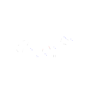 Cc1nc(N)ccc1CNC(=O)[C@H](C)NC(=O)[C@H]1CN(c2cccc3ccccc23)CCN1